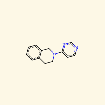 c1ccc2c(c1)CCN(c1ccncn1)C2